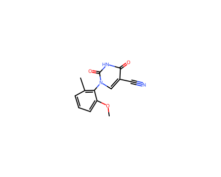 COc1cccc(C)c1-n1cc(C#N)c(=O)[nH]c1=O